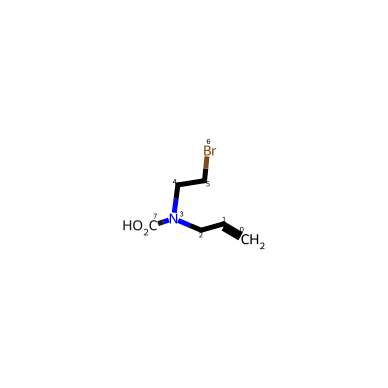 C=CCN(CCBr)C(=O)O